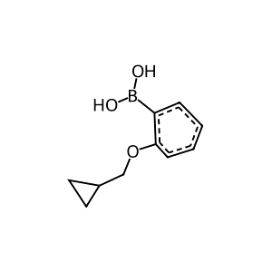 OB(O)c1ccccc1OCC1CC1